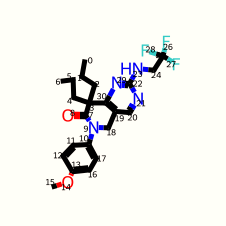 CCCC1(CCC)C(=O)N(c2ccc(OC)cc2)Cc2cnc(NCC(F)(F)F)nc21